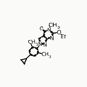 CCOc1nc2nn(-c3c(C)cc(C4CC4)cc3C)cc2c(=O)n1C